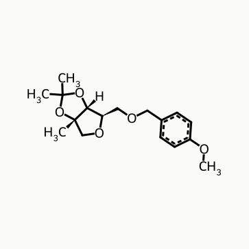 COc1ccc(COC[C@H]2OC[C@]3(C)OC(C)(C)O[C@H]23)cc1